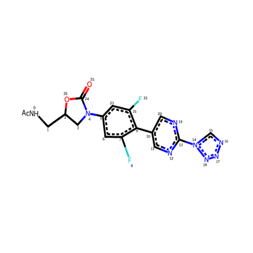 CC(=O)NCC1CN(c2cc(F)c(-c3cnc(-n4cnnn4)nc3)c(F)c2)C(=O)O1